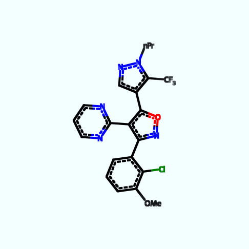 CCCn1ncc(-c2onc(-c3cccc(OC)c3Cl)c2-c2ncccn2)c1C(F)(F)F